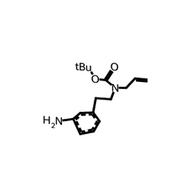 C=CCN(CCc1cccc(N)c1)C(=O)OC(C)(C)C